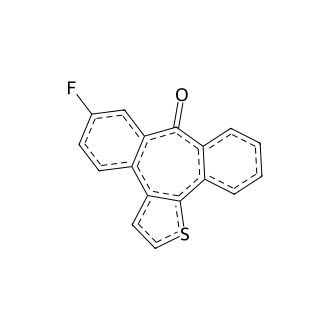 O=c1c2cc(F)ccc2c2ccsc2c2ccccc12